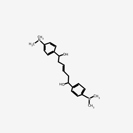 CN(C)c1ccc(C(O)CC=CCC(O)c2ccc(N(C)C)cc2)cc1